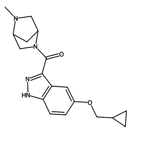 CN1CC2CC1CN2C(=O)c1n[nH]c2ccc(OCC3CC3)cc12